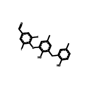 Cc1ccc(O)c(Cc2cc(C)cc(Oc3c(I)cc(C=O)cc3I)c2O)c1